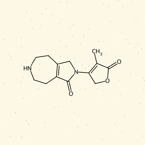 CC1=C(N2CC3=C(CCNCC3)C2=O)COC1=O